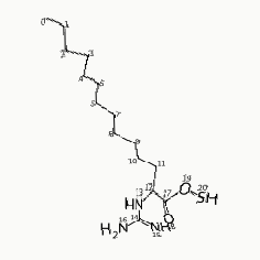 CCCCCCCCCCCCC(NC(=N)N)C(=O)OS